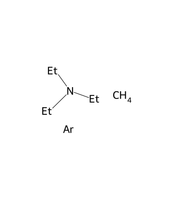 C.CCN(CC)CC.[Ar]